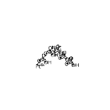 O=[Se]([O-])O.O=[Se]([O-])O.O=[Se]([O-])O.O=[Se]([O-])O.O=[Se]([O-])O.[Co].[NH4+].[Pt+4]